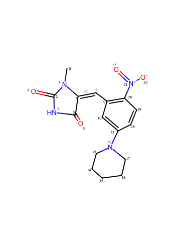 CN1C(=O)NC(=O)/C1=C\c1cc(N2CCCCC2)ccc1[N+](=O)[O-]